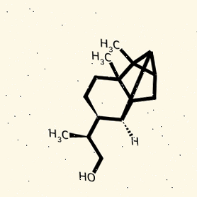 C[C@H](CO)[C@H]1CCC2(C)C3CC4C([C@@H]31)C42C